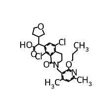 CCCCOc1nc(C)cc(C)c1CN1CCc2c(Cl)cc(C(C(=O)O)C3CCOC3)c(Cl)c2C1=O